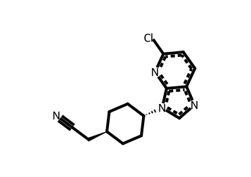 N#CC[C@H]1CC[C@H](n2cnc3ccc(Cl)nc32)CC1